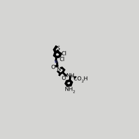 CC1CN(C(=O)/C=C/c2cc3ccsc3c(Cl)c2Cl)CCC1C(=O)N[C@H](CC(=O)O)c1ccc(N)cc1